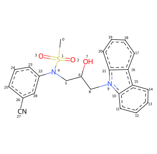 CS(=O)(=O)N(CC(O)Cn1c2ccccc2c2ccccc21)c1cccc(C#N)c1